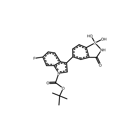 CC(C)(C)OC(=O)n1cc(-c2ccc3c(c2)C(=O)NS3(O)O)c2ccc(F)cc21